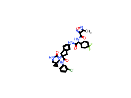 Cc1nonc1C(=O)N[C@H](C(=O)Nc1ccc2c(c1)CC(C(=O)Nc1cccc(Cl)c1)(N1CC3(CC3)CNC1=O)C2)C1CCC(F)(F)CC1